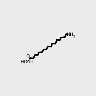 NCCCCCCCCCCCCCCCCC(=O)NO